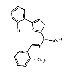 CCCCCN(N=Cc1ccccc1C(=O)O)c1nc(-c2ccccc2Cl)cs1